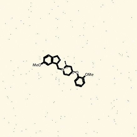 COc1ccc2c(c1)C(CN1CC[C@H](Oc3ccccc3OC)C[C@@H]1C)CC2